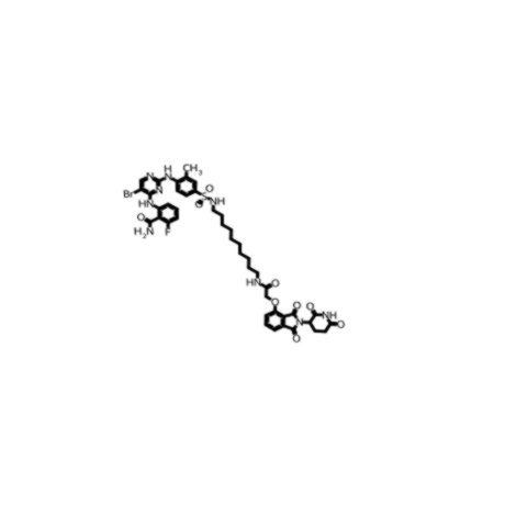 Cc1cc(S(=O)(=O)NCCCCCCCCCCNC(=O)COc2cccc3c2C(=O)N(C2CCC(=O)NC2=O)C3=O)ccc1Nc1ncc(Br)c(Nc2cccc(F)c2C(N)=O)n1